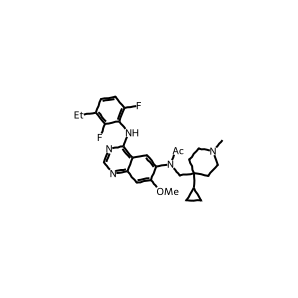 CCc1ccc(F)c(Nc2ncnc3cc(OC)c(N(CC4(C5CC5)CCN(C)CC4)C(C)=O)cc23)c1F